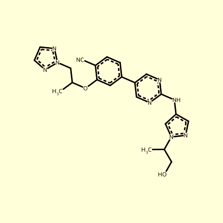 CC(Cn1nccn1)Oc1cc(-c2cnc(Nc3cnn(C(C)CO)c3)nc2)ccc1C#N